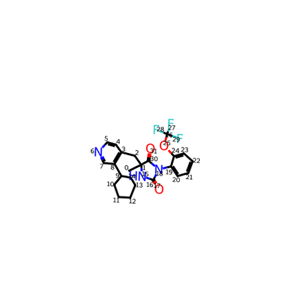 CC1(Cc2ccncc2C2CCCCC2)NC(=O)N(c2ccccc2OC(F)(F)F)C1=O